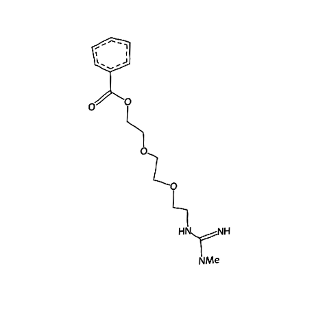 CNC(=N)NCCOCCOCCOC(=O)c1ccccc1